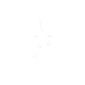 CCC1=NN(C)NN1